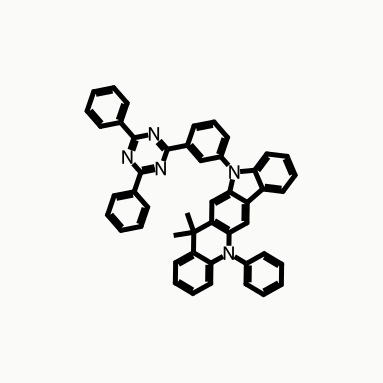 CC1(C)c2ccccc2N(c2ccccc2)c2cc3c4ccccc4n(-c4cccc(-c5nc(-c6ccccc6)nc(-c6ccccc6)n5)c4)c3cc21